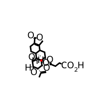 C=C(C)[C@]12O[C@H]1[C@@H]1O[C@]13[C@]1(O[C@H]1CC1C4=C(CC[C@@]13C)C(=O)OC4)[C@@H]2OC(=O)CCC(=O)O